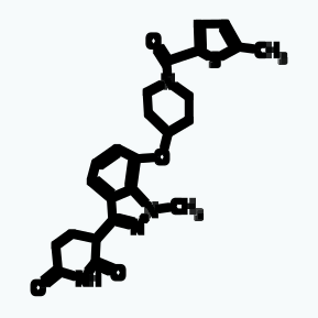 Cc1ccc(C(=O)N2CCC(Oc3cccc4c(C5CCC(=O)NC5=O)nn(C)c34)CC2)s1